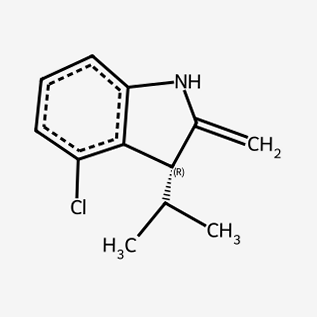 C=C1Nc2cccc(Cl)c2[C@H]1C(C)C